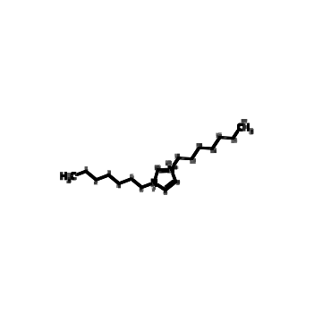 CCCCCCCn1cc[n+](CCCCCCC)c1